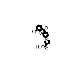 CC(=O)C1CCN(c2ccc3c(=O)c4cccc(Cl)c4oc3c2)C1